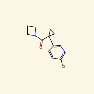 O=C(N1CCC1)C1(c2ccc(Cl)nc2)CC1